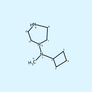 CN(C1CCC1)N1CCNCC1